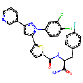 NC(=O)[C@H](Cc1ccc(F)cc1)NC(=O)c1ccc(-c2cc(-c3cccnc3)nn2-c2ccc(Cl)c(Cl)c2)s1